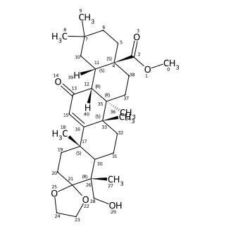 COC(=O)[C@]12CCC(C)(C)C[C@H]1[C@H]1C(=O)C=C3[C@@]4(C)CCC5(OCCO5)[C@@](C)(CO)C4CC[C@@]3(C)[C@]1(C)CC2